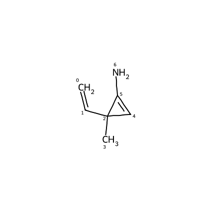 C=CC1(C)C=C1N